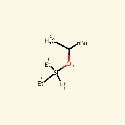 CCCCC(C)O[Si](CC)(CC)CC